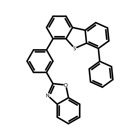 c1ccc(-c2cccc3c2sc2c(-c4cccc(-c5nc6ccccc6o5)c4)cccc23)cc1